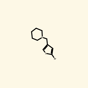 Brc1cc(CN2CCCCC2)cs1